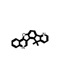 CC1(C)c2cccnc2-c2ccc3oc4c5ccccc5ncc4c3c21